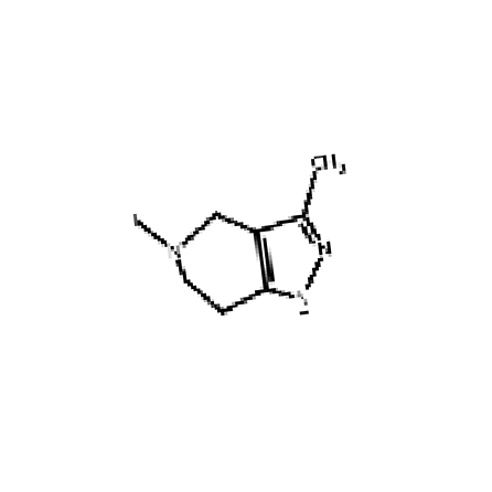 Cc1n[nH]c2c1CN(I)CC2